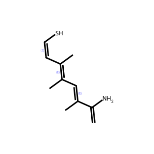 C=C(N)/C(C)=C/C(C)=C(C)/C=C\S